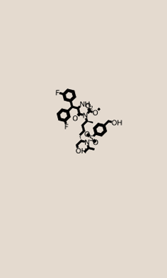 COC(=O)N(C(=O)C(N)C(c1cccc(F)c1)c1cccc(F)c1)[C@@H](C)CCC[C@@H](CO)N(C(C)C)S(=O)(=O)c1ccc(CO)cc1